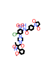 COc1ccccc1-c1noc(C)c1C(=O)N1CCN(c2cc(NC(=O)c3ccc(N4C(=O)CCC4=O)cc3)c([N+](=O)[O-])cc2Cl)CC1